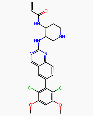 C=CC(=O)NC1CCNCC1Nc1ncc2cc(-c3c(Cl)c(OC)cc(OC)c3Cl)ccc2n1